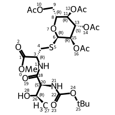 COC(=O)[C@H](CS[C@H]1O[C@H](COC(C)=O)[C@@H](OC(C)=O)[C@H](OC(C)=O)[C@H]1OC(C)=O)NC(=O)[C@@H](NC(=O)OC(C)(C)C)[C@@H](C)O